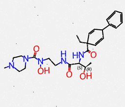 CCC1(C(=O)N[C@H](C(=O)NCCN(O)C(=O)N2CCN(C)CC2)[C@@H](C)O)C=CC(c2ccccc2)C=C1